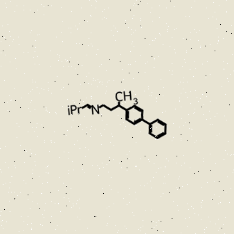 CC(C)C=NCCC(C)c1ccc(-c2ccccc2)cc1